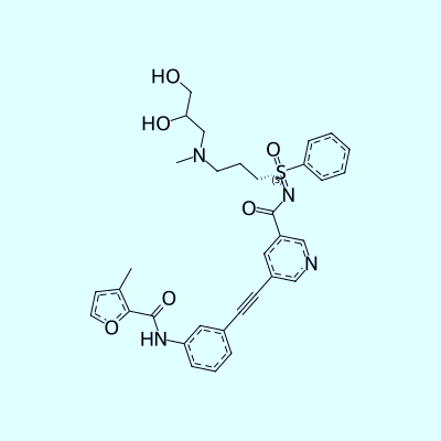 Cc1ccoc1C(=O)Nc1cccc(C#Cc2cncc(C(=O)N=[S@](=O)(CCCN(C)CC(O)CO)c3ccccc3)c2)c1